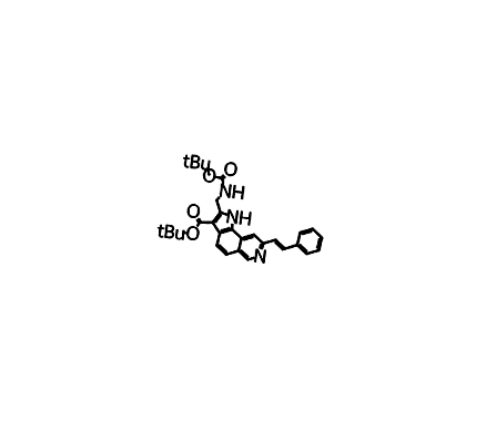 CC(C)(C)OC(=O)NCc1[nH]c2c(ccc3cnc(C=Cc4ccccc4)cc32)c1C(=O)OC(C)(C)C